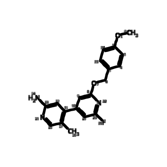 COc1ccc(COc2cc(-c3cc(N)ncc3C)cc(F)n2)cc1